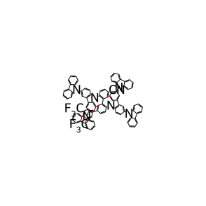 N#Cc1ccc(-n2c3ccc(-n4c5ccccc5c5ccccc54)cc3c3cc(-n4c5ccccc5c5ccccc54)ccc32)c(-c2cc(-c3cc(C(F)(F)F)cc(C(F)(F)F)c3)ccc2-n2c3ccc(-n4c5ccccc5c5ccccc54)cc3c3cc(-n4c5ccccc5c5ccccc54)ccc32)c1